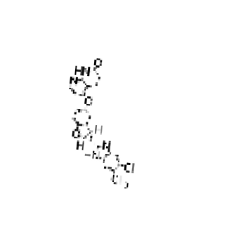 O=C1CCc2c(OC3=CC=C4O[C@@H]5[C@@H](c6nc7cc(Cl)c(C(F)(F)F)cc7[nH]6)[C@@H]5C4C3)ccnc2N1